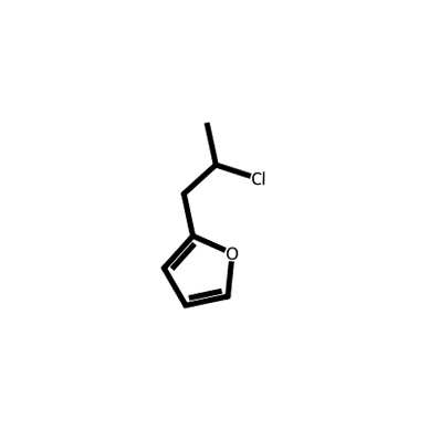 CC(Cl)Cc1ccco1